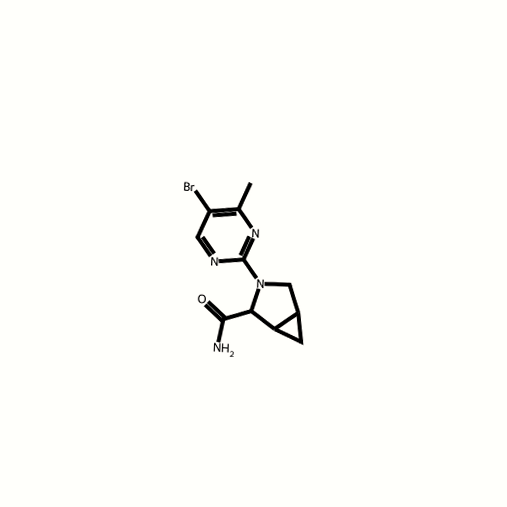 Cc1nc(N2CC3CC3C2C(N)=O)ncc1Br